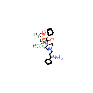 CCN(C(=O)[C@H](c1ccccc1)S(C)(=O)=O)C1CCN(CCC(N)c2ccccc2)CC1.Cl.Cl